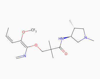 C=N/C(OCC(C)(C)C(=O)N[C@@H]1CN(C)C[C@H]1C)=C(\C=C/C)OC(F)(F)F